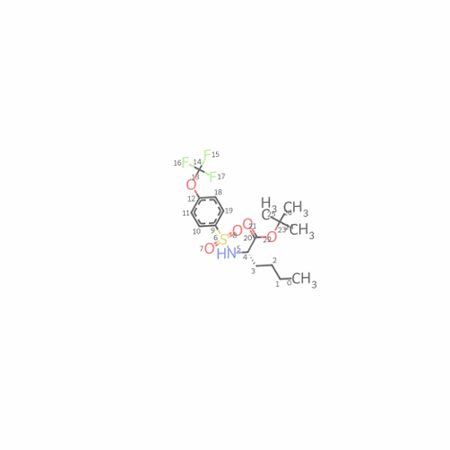 CCCC[C@H](NS(=O)(=O)c1ccc(OC(F)(F)F)cc1)C(=O)OC(C)(C)C